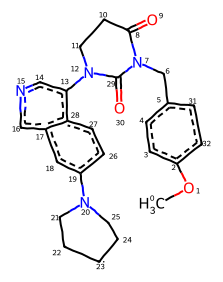 COc1ccc(CN2C(=O)CCN(c3cncc4cc(N5CC[CH]CC5)ccc34)C2=O)cc1